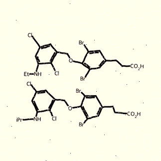 CC(C)Nc1cc(Cl)cc(COc2c(Br)cc(CCC(=O)O)cc2Br)c1Cl.CCNc1cc(Cl)cc(COc2c(Br)cc(CCC(=O)O)cc2Br)c1Cl